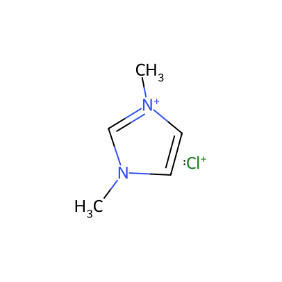 Cn1cc[n+](C)c1.[Cl+]